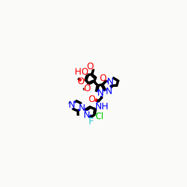 COc1c(-c2cn(CC(=O)Nc3cc(N4CCN(C)CC4C)nc(F)c3Cl)c3nc4n(c(=O)c23)CCC4)cc(C=O)c(O)c1OC